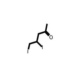 CC(=O)CC(I)CI